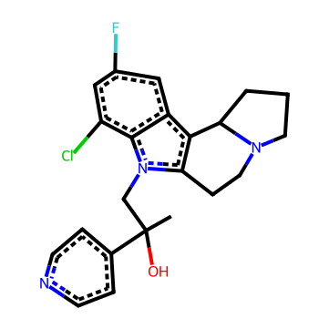 CC(O)(Cn1c2c(c3cc(F)cc(Cl)c31)C1CCCN1CC2)c1ccncc1